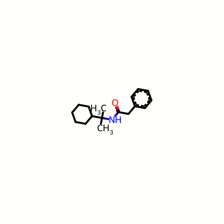 CC(C)(NC(=O)Cc1ccccc1)C1CCCCC1